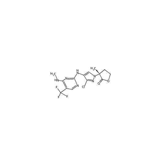 CNc1nc(Nc2cn([C@]3(C)CCOC3=O)nc2Cl)ncc1C(F)(F)F